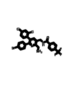 NCc1nc(-c2ccc(Br)cc2)c(-c2ccc(Cl)cc2Cl)cc1CNC(=O)c1ccc(C(F)(F)F)cc1